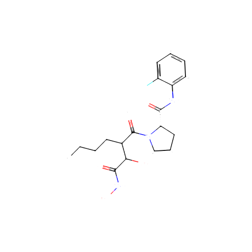 CCCCC(C(=O)N1CCC[C@H]1C(=O)Nc1ccccc1F)C(O)C(=O)NO